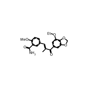 CCOc1cc(C(=O)C(C)=Cc2ccc(OC)c(C(N)=O)c2)cc2c1OCO2